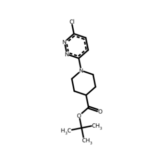 CC(C)(C)OC(=O)C1CCN(c2ccc(Cl)nn2)CC1